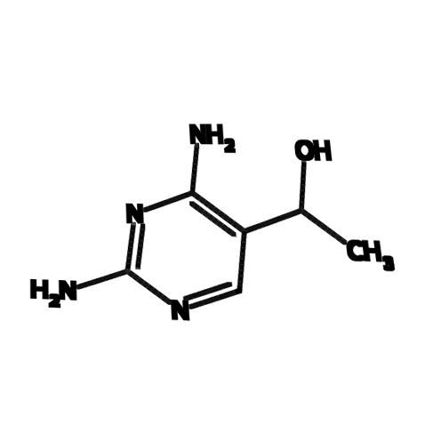 CC(O)c1cnc(N)nc1N